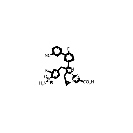 N#Cc1cccc(-c2cc(-c3nn(-c4nc(C(=O)O)cs4)c(CC4CC4)c3Cc3ccc(S(N)(=O)=O)c(F)c3)ccc2F)c1